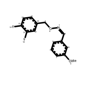 COc1cccc(/[C]=N\OCc2ccc(F)c(F)c2)c1